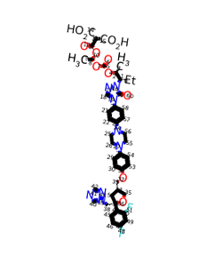 CC[C@@H]([C@H](C)OC(=O)OC(C)OC(=O)C(C(=O)O)C(=O)O)n1ncn(-c2ccc(N3CCN(c4ccc(OC[C@@H]5CO[C@@](Cn6cncn6)(c6ccc(F)cc6F)C5)cc4)CC3)cc2)c1=O